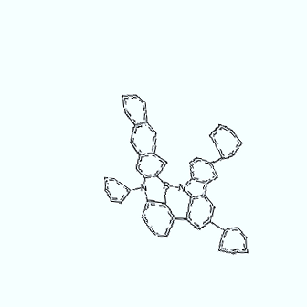 c1ccc(-c2ccc3c(c2)c2cc(-c4ccccc4)cc4c2n3B2c3cc5cc6ccccc6cc5cc3N(c3ccccc3)c3cccc-4c32)cc1